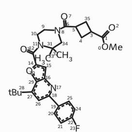 COC(=O)C1CC(C(=O)N2CCN(C(=O)c3cc4nc(-c5ccc(F)cc5)cc(C(C)(C)C)c4o3)C(C)(C)C2)C1